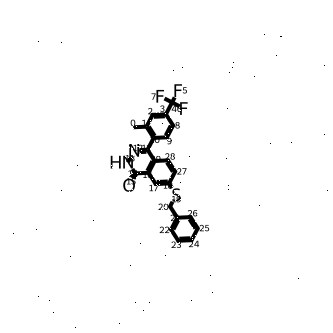 Cc1cc(C(F)(F)F)ccc1-c1n[nH]c(=O)c2cc(SCc3ccccc3)ccc12